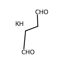 O=CCCC=O.[KH]